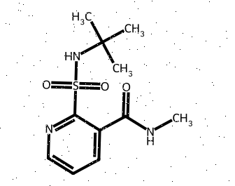 CNC(=O)c1cccnc1S(=O)(=O)NC(C)(C)C